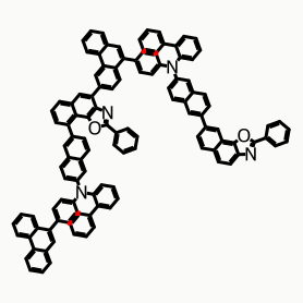 c1ccc(-c2nc3ccc4ccc(-c5ccc6cc(N(c7ccc(-c8cc9ccccc9c9cc(-c%10cc%11cccc(-c%12ccc%13cc(N(c%14ccc(-c%15cc%16ccccc%16c%16ccccc%15%16)cc%14)c%14ccccc%14-c%14ccccc%14)ccc%13c%12)c%11c%11oc(-c%12ccccc%12)nc%10%11)ccc89)cc7)c7ccccc7-c7ccccc7)ccc6c5)cc4c3o2)cc1